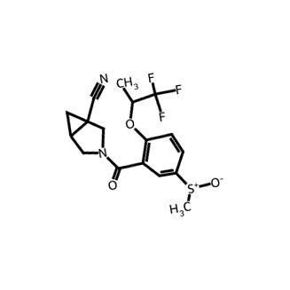 CC(Oc1ccc([S+](C)[O-])cc1C(=O)N1CC2CC2(C#N)C1)C(F)(F)F